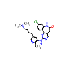 Cc1ncc(CCCCN(C)C)cc1Nc1ncc2c(n1)-c1ccc(Cl)cc1NC(=O)C2